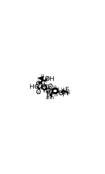 O=C(O)[C@@H]1C[C@@H](S(=O)(=O)c2ccc(OCC(F)(F)F)cc2C(F)(F)F)CN1C(=O)C1(CO)CC1